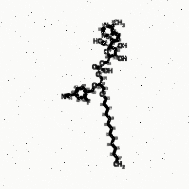 C#C[C@@]1(c2ccc3c(C)ncnn23)O[C@H](COP(=O)(O)OC[C@@H](COCCCCCCCCCCCCCC)OCc2ccc(C#N)cc2F)[C@@H](O)[C@H]1O